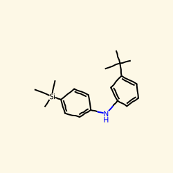 CC(C)(C)c1cccc(Nc2ccc([Si](C)(C)C)cc2)c1